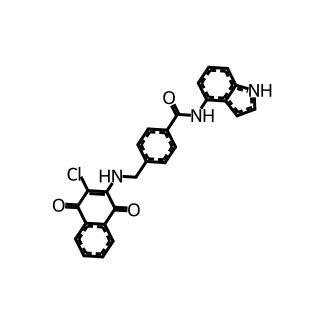 O=C(Nc1cccc2[nH]ccc12)c1ccc(CNC2=C(Cl)C(=O)c3ccccc3C2=O)cc1